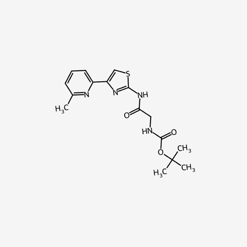 Cc1cccc(-c2csc(NC(=O)CNC(=O)OC(C)(C)C)n2)n1